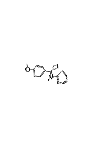 COc1ccc(C(Cl)=Nc2ccccc2)cc1